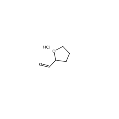 Cl.O=CC1CCCO1